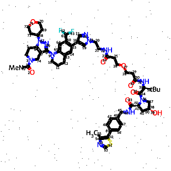 CNC(=O)N1CCc2c(c(N3CCCc4cc(-c5cnn(CCNC(=O)CCOCCC(=O)N[C@H](C(=O)N6C[C@H](O)C[C@H]6C(=O)NCc6ccc(-c7scnc7C)cc6)C(C)(C)C)c5)c(C(F)F)cc43)nn2C2CCOCC2)C1